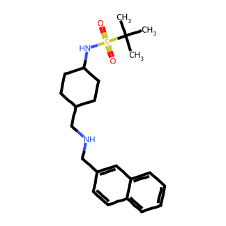 CC(C)(C)S(=O)(=O)NC1CCC(CNCc2ccc3ccccc3c2)CC1